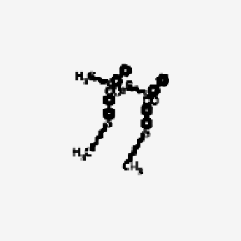 CCCCCCCCCCSc1ccc(-c2ccc(OC(=O)C3(SCCCCC)C=CC(c4ccccc4)=CC3)cc2)cc1.CCCCCCCCCSc1ccc(-c2ccc(OC(=O)C3(SCCCCC)C=CC(c4ccccc4)=CC3)cc2)cc1